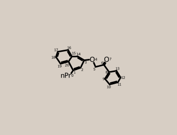 CCCc1cc(OCC(=O)c2ccccc2)cc2ccccc12